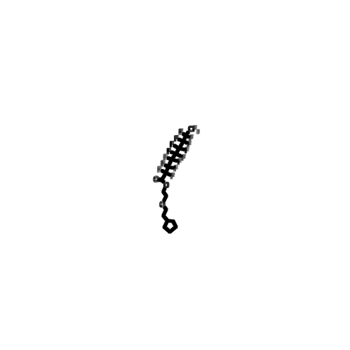 O=C(OCCOCCC1CCCC1)C(F)(F)C(F)(F)C(F)(F)C(F)(F)C(F)(F)C(F)(F)C(F)(F)C(F)(F)F